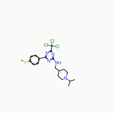 CSc1ccc(-c2nc(NCC3CCN(C(C)C)CC3)nc(C(Cl)(Cl)Cl)n2)cc1